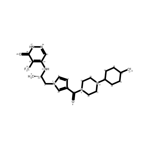 C[C@@H](Cn1ccc(C(=O)N2CCN(C3CCC(C(F)(F)F)CC3)CC2)c1)Nc1cn[nH]c(=O)c1C(F)(F)F